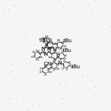 CC(C)(C)c1ccc2c(c1)c1cc(C(C)(C)C)ccc1n2-c1ccc(-c2ccccc2C#N)cc1-c1ccc(-n2c3ccc(C(C)(C)C)cc3c3cc(C(C)(C)C)ccc32)c(-c2nc(-c3ccccc3)nc(-c3ccccc3)n2)c1